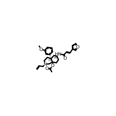 C=CCN1CC[C@@]2(c3cccc(OC)c3)C[C@H](NC(=O)C=Cc3ccoc3)CC[C@]2(OC(C)=O)C1